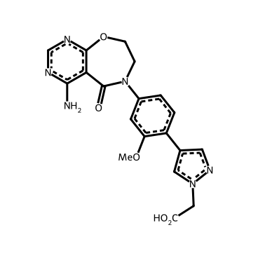 COc1cc(N2CCOc3ncnc(N)c3C2=O)ccc1-c1cnn(CC(=O)O)c1